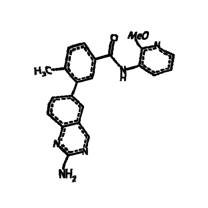 COc1ncccc1NC(=O)c1ccc(C)c(-c2ccc3nc(N)ncc3c2)c1